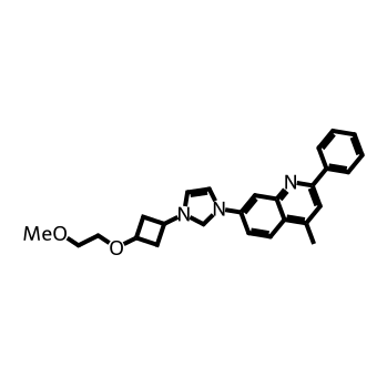 COCCOC1CC(N2C=CN(c3ccc4c(C)cc(-c5ccccc5)nc4c3)C2)C1